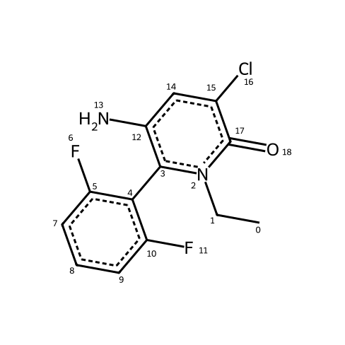 CCn1c(-c2c(F)cccc2F)c(N)cc(Cl)c1=O